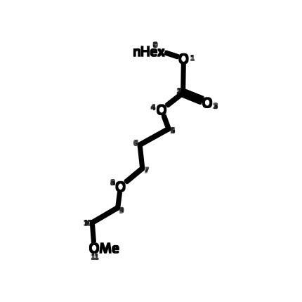 CCCCCCOC(=O)OCCCOCCOC